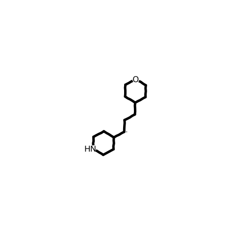 [CH](CCC1CCOCC1)C1CCNCC1